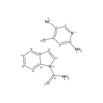 N#Cc1cnc(N)cc1[O].NC(=O)n1ccc2ccccc21